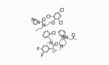 CC(=O)CNC1(c2ccccc2)CCN(C[C@@H]2C[C@@]2(C(=O)N(C)Cc2ccccc2Cl)c2ccc(F)c(F)c2)CC1.CCCN(CCOc1c(Cl)cc(Cl)cc1Cl)C(=O)n1ccnc1